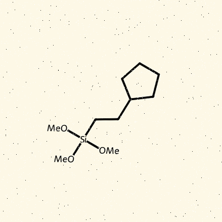 CO[Si](CCC1CCCC1)(OC)OC